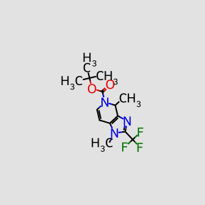 CC1c2nc(C(F)(F)F)n(C)c2C=CN1C(=O)OC(C)(C)C